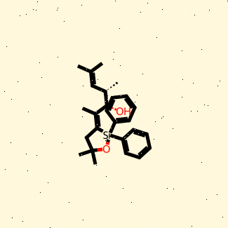 CC(C)=C[C@H](C)[C@H](O)/C(C)=C1/CC(C)(C)O[Si]1(c1ccccc1)c1ccccc1